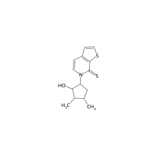 CC1CC(n2ccc3ccsc3c2=S)C(O)C1C